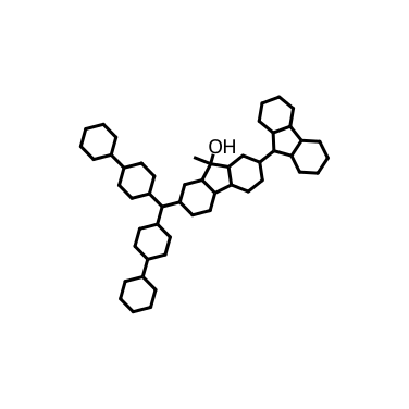 CC1(O)C2CC(C(C3CCC(C4CCCCC4)CC3)C3CCC(C4CCCCC4)CC3)CCC2C2CCC(C3C4CCCCC4C4CCCCC43)CC21